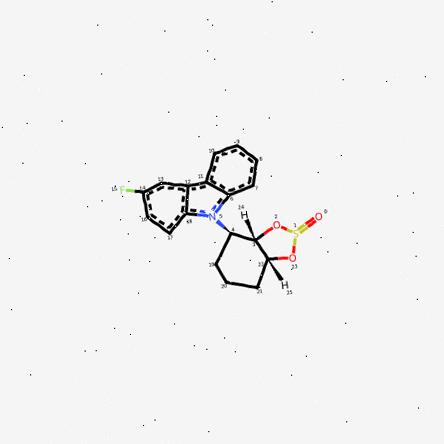 O=S1O[C@H]2[C@H](n3c4ccccc4c4cc(F)ccc43)CCC[C@H]2O1